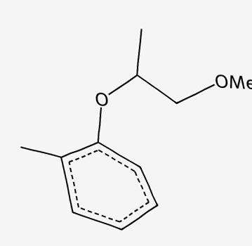 COCC(C)Oc1ccccc1C